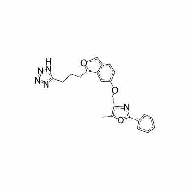 Cc1oc(-c2ccccc2)nc1COc1ccc2coc(CCCc3nnn[nH]3)c2c1